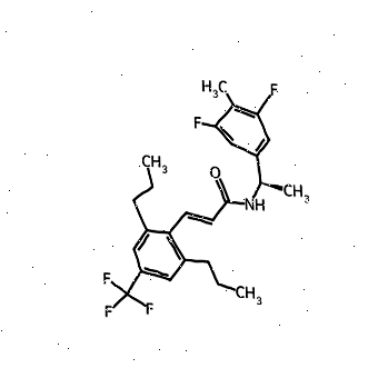 CCCc1cc(C(F)(F)F)cc(CCC)c1/C=C/C(=O)N[C@H](C)c1cc(F)c(C)c(F)c1